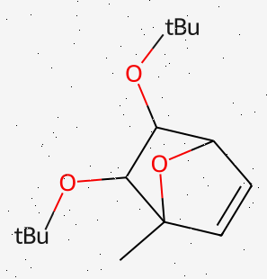 CC(C)(C)OC1C2C=CC(C)(O2)C1OC(C)(C)C